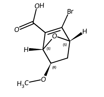 CO[C@@H]1C[C@@H]2O[C@H]1C(C(=O)O)=C2Br